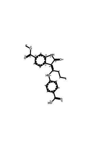 CCCC(Nc1ccc(C(=O)O)cc1)=C1C(=O)Nc2cc(C(=O)OC)ccc21